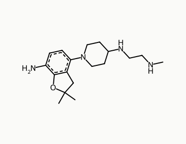 CNCCNC1CCN(c2ccc(N)c3c2CC(C)(C)O3)CC1